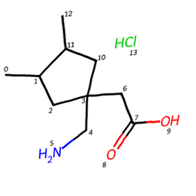 CC1CC(CN)(CC(=O)O)CC1C.Cl